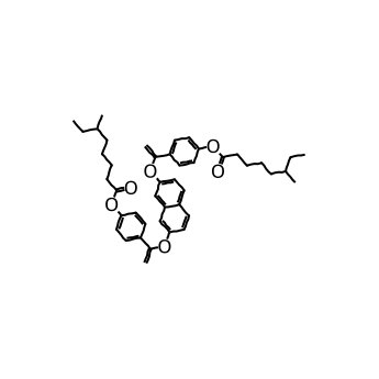 C=C(Oc1ccc2ccc(OC(=C)c3ccc(OC(=O)CCCCC(C)CC)cc3)cc2c1)c1ccc(OC(=O)CCCCC(C)CC)cc1